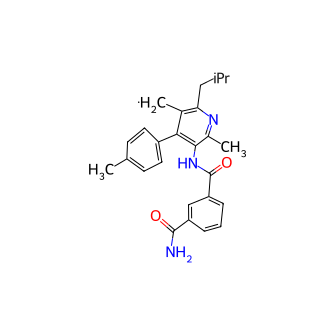 [CH2]c1c(CC(C)C)nc(C)c(NC(=O)c2cccc(C(N)=O)c2)c1-c1ccc(C)cc1